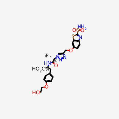 CC(C)[C@@H](C(=O)N[C@@H](Cc1ccc(OCCO)cc1)C(=O)O)n1cc(COc2ccc3nc(S(N)(=O)=O)sc3c2)nn1